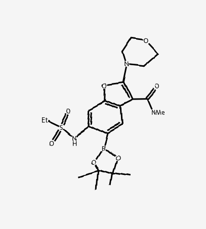 CCS(=O)(=O)Nc1cc2oc(N3CCOCC3)c(C(=O)NC)c2cc1B1OC(C)(C)C(C)(C)O1